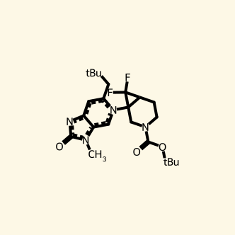 Cn1c2cn(C34CN(C(=O)OC(C)(C)C)CCC3C4(F)F)c(CC(C)(C)C)cc-2nc1=O